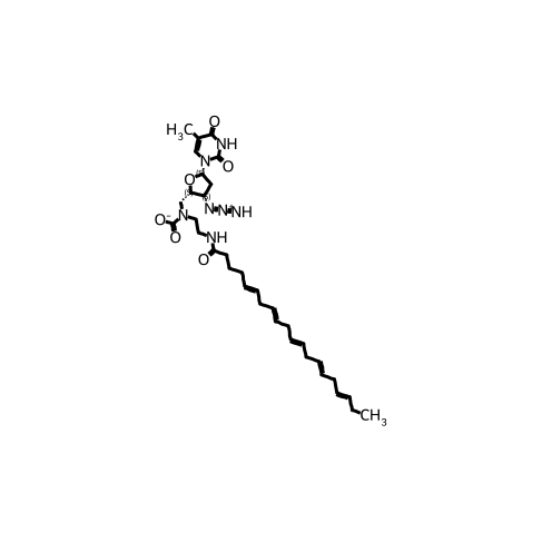 CCC=CCC=CCC=CCC=CCC=CCCCC(=O)NCCN(C[C@@H]1O[C@H](n2cc(C)c(=O)[nH]c2=O)C[C@@H]1N=[N+]=N)C(=O)[O-]